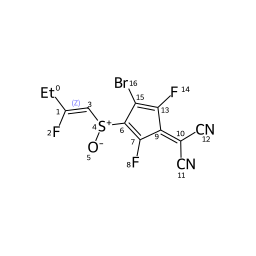 CC/C(F)=C/[S+]([O-])C1=C(F)C(=C(C#N)C#N)C(F)=C1Br